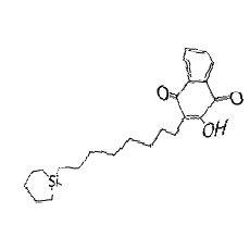 C[Si]1(CCCCCCCCC2=C(O)C(=O)c3ccccc3C2=O)CCCCC1